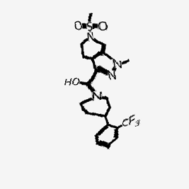 Cn1nc(C(O)N2CCC(c3ccccc3C(F)(F)F)CC2)c2c1CN(S(C)(=O)=O)CC2